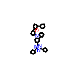 c1ccc(-c2nc(-c3ccccc3)nc(-c3ccc4c(c3)c3ccccc3n4-c3cccc4c3oc3c(-c5ccccc5)cccc34)n2)cc1